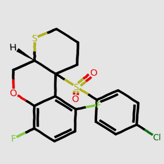 O=S(=O)(c1ccc(Cl)cc1)C12CCCS[C@H]1COc1c(F)ccc(F)c12